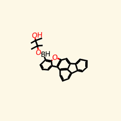 CC(C)(O)C(C)(C)OBc1cccc2c1oc1cc3c4c(cccc4c12)-c1ccccc1-3